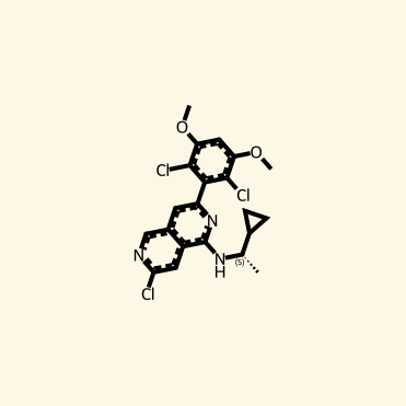 COc1cc(OC)c(Cl)c(-c2cc3cnc(Cl)cc3c(N[C@@H](C)C3CC3)n2)c1Cl